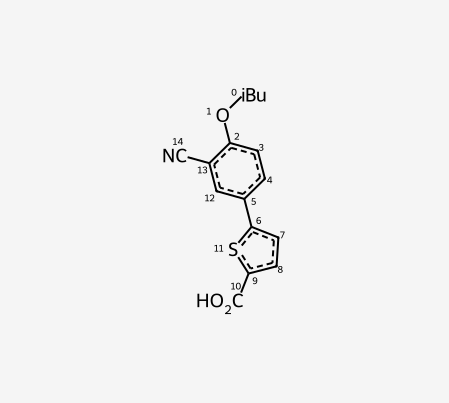 CCC(C)Oc1ccc(-c2ccc(C(=O)O)s2)cc1C#N